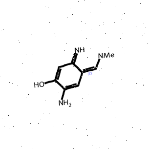 CN/C=C1/C=C(N)C(O)=CC1=N